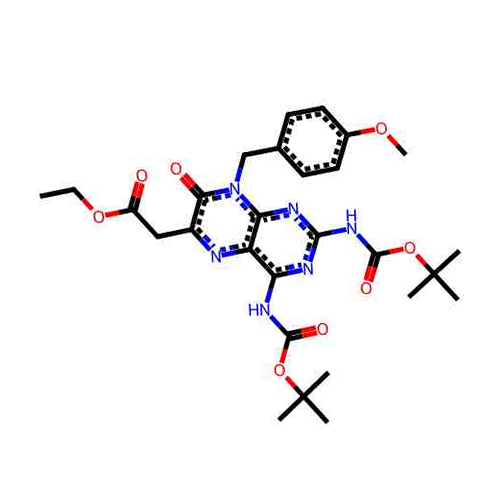 CCOC(=O)Cc1nc2c(NC(=O)OC(C)(C)C)nc(NC(=O)OC(C)(C)C)nc2n(Cc2ccc(OC)cc2)c1=O